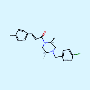 Cc1ccc(C=CC(=O)N2C[C@@H](C)N(Cc3ccc(Cl)cc3)C[C@@H]2C)cc1